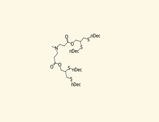 CCCCCCCCCCSCC(COC(=O)CCN(C)CCC(=O)OCC(CSCCCCCCCCCC)SCCCCCCCCCC)SCCCCCCCCCC